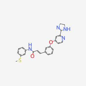 CSc1cccc(NC(=O)/C=C/c2cccc(Oc3ccnc(C4=NCCN4)c3)c2)c1